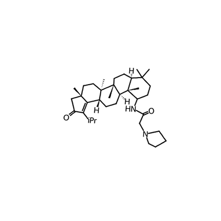 CC(C)C1=C2[C@H]3CC[C@@H]4[C@@]5(C)C(NC(=O)CN6CCCC6)CCC(C)(C)[C@@H]5CC[C@@]4(C)[C@]3(C)CC[C@@]2(C)CC1=O